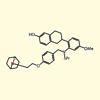 CCCN(Cc1ccc(OCCN2CC3CCC(CC3)C2)cc1)c1cc(OC)ccc1C1CCc2cc(O)ccc2C1